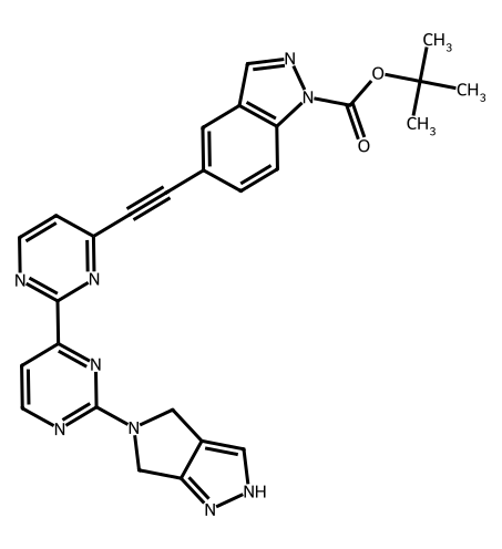 CC(C)(C)OC(=O)n1ncc2cc(C#Cc3ccnc(-c4ccnc(N5Cc6c[nH]nc6C5)n4)n3)ccc21